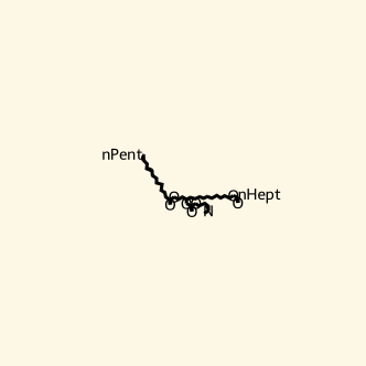 CCCCCC=CCC=CCCCCCCCC(=O)OCCC(CCCCCCCCCCOC(=O)CCCCCCC)OC(=O)OCCCN(C)C